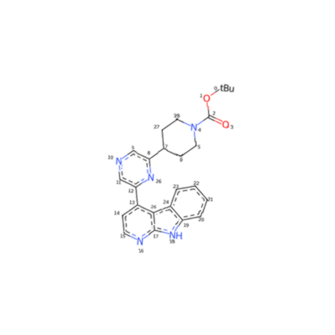 CC(C)(C)OC(=O)N1CCC(c2cncc(-c3ccnc4[nH]c5ccccc5c34)n2)CC1